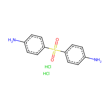 Cl.Cl.Nc1ccc(S(=O)(=O)c2ccc(N)cc2)cc1